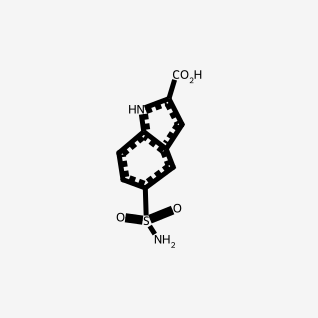 NS(=O)(=O)c1ccc2[nH]c(C(=O)O)cc2c1